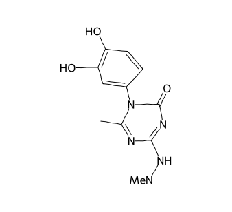 CNNc1nc(C)n(-c2ccc(O)c(O)c2)c(=O)n1